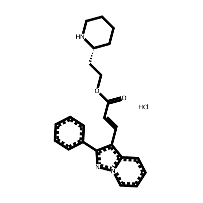 Cl.O=C(/C=C/c1c(-c2ccccc2)nn2ccccc12)OCC[C@H]1CCCCN1